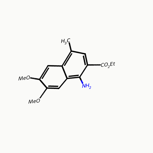 CCOC(=O)c1cc(C)c2cc(OC)c(OC)cc2c1N